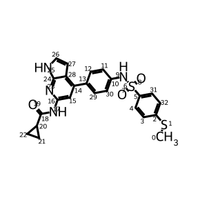 CSc1ccc(S(=O)(=O)Nc2ccc(-c3cc(NC(=O)C4CC4)nc4[nH]ccc34)cc2)cc1